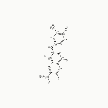 CCN(C)C(=O)C(C)=Cc1cc(C)c(Oc2ccc(Cl)c(C(F)(F)F)c2)cc1C